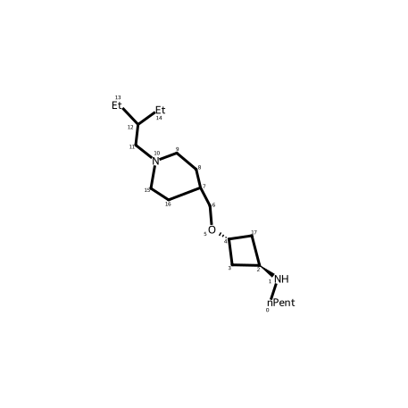 CCCCCN[C@H]1C[C@H](OCC2CCN(CC(CC)CC)CC2)C1